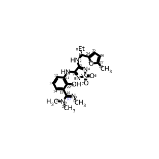 CC[C@@H](NC1=NS(=O)(=O)N=C1Nc1cccc(/C(=N/C)N(C)C)c1O)c1ccc(C)o1